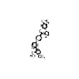 Cc1ccc([C@@H]2CCON2C(=O)C2CCN(c3ccnc(N4CCC(C)(C)C4=O)n3)CC2)cn1